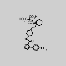 Cc1ccc(-c2ccoc2C(=O)NC2CCN(CCC3(CCC(C(=O)O)(C(=O)O)C(=O)O)CCCCC3)CC2)cc1